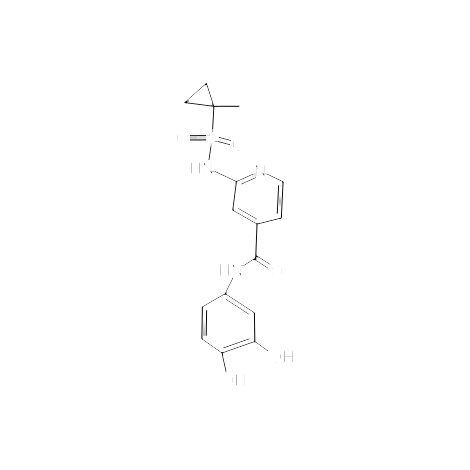 CC1(S(=O)(=O)Nc2cc(C(=O)Nc3ccc(O)c(O)c3)ccn2)CC1